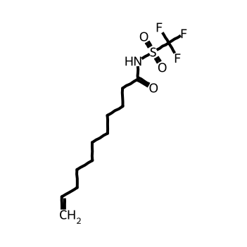 C=CCCCCCCCCC(=O)NS(=O)(=O)C(F)(F)F